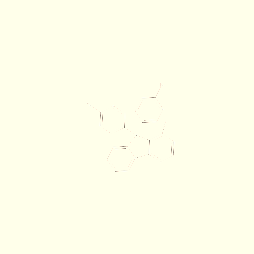 Cc1cccc2c1C(c1ccc(N)cc1)(c1ccc(N)cc1)c1ccccc1-2